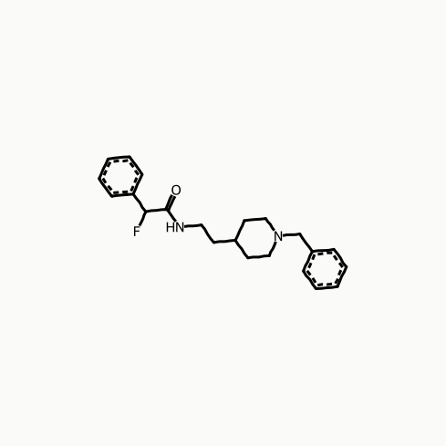 O=C(NCCC1CCN(Cc2ccccc2)CC1)C(F)c1ccccc1